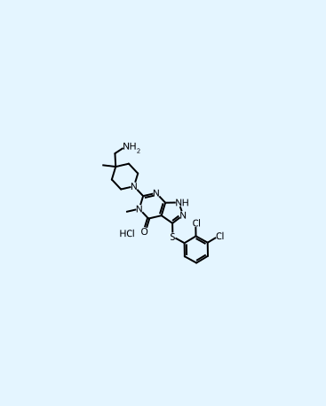 Cl.Cn1c(N2CCC(C)(CN)CC2)nc2[nH]nc(Sc3cccc(Cl)c3Cl)c2c1=O